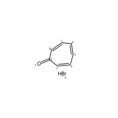 Br.O=c1cccccc1